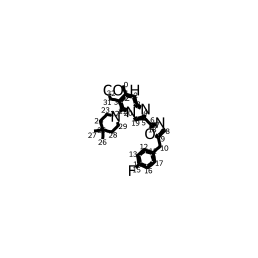 Cc1cc2nc(-c3ncc(Cc4ccc(F)cc4)o3)cn2c(N2CCC(C)(C)CC2)c1CC(=O)O